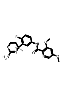 COc1cnc(C(=O)Nc2ccc(F)c([C@]3(C)CCSC(N)=N3)c2)c(OC)c1